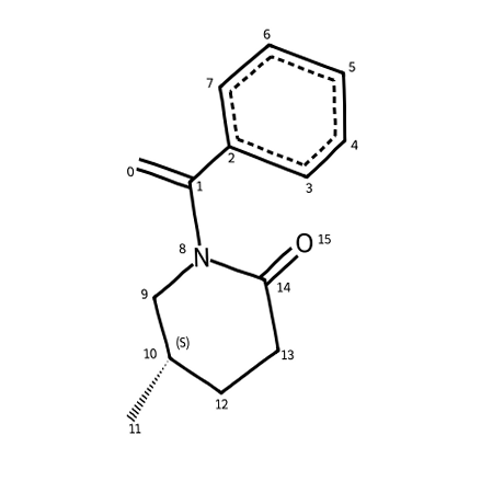 C=C(c1ccccc1)N1C[C@@H](C)CCC1=O